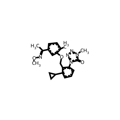 CON=C(C)c1ccc(C)c(OCc2c(C3CC3)cccc2-n2nnn(C)c2=O)c1